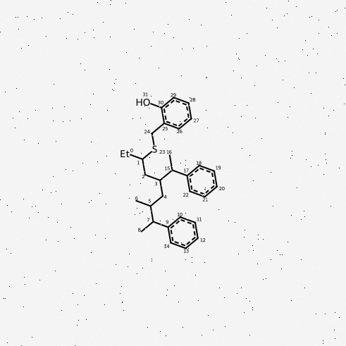 CCC(CC(CC(C)C(C)c1ccccc1)C(C)c1ccccc1)SCc1ccccc1O